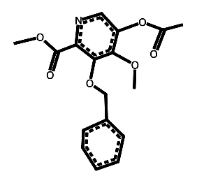 COC(=O)c1ncc(OC(C)=O)c(OC)c1OCc1ccccc1